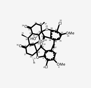 COc1cc(C)c2c(c1Cl)OC1(C2=O)C2=C(C(=O)C[C@H]1C)[C@@H](C)C1C(=O)C[C@@H](C)C3(Oc4c(Cl)c(OC)cc(C)c4C3=O)[C@@]1(O)O2